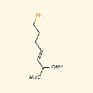 COC(/C=C/CCCP)OC